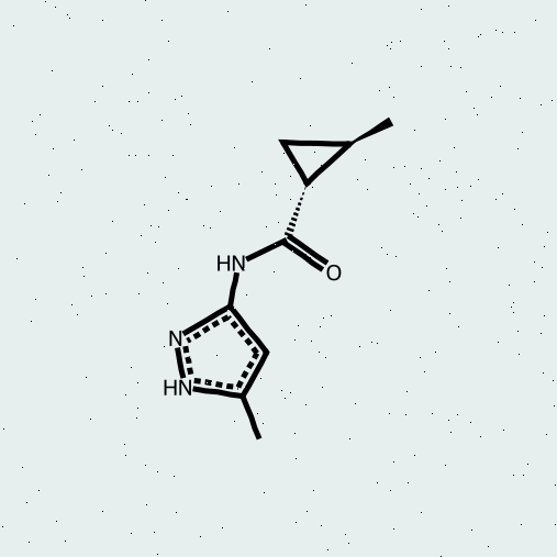 Cc1cc(NC(=O)[C@@H]2C[C@H]2C)n[nH]1